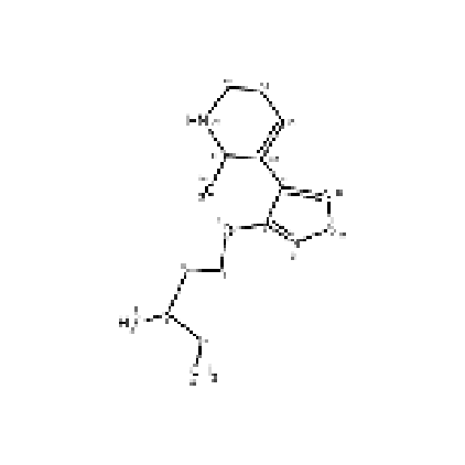 CCC(C)CCOc1nsnc1C1=CCCNC1C